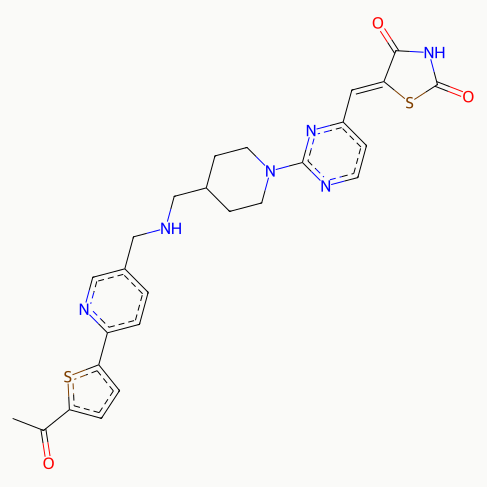 CC(=O)c1ccc(-c2ccc(CNCC3CCN(c4nccc(/C=C5\SC(=O)NC5=O)n4)CC3)cn2)s1